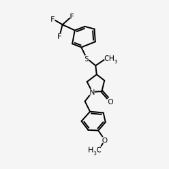 COc1ccc(CN2CC(C(C)Sc3cccc(C(F)(F)F)c3)CC2=O)cc1